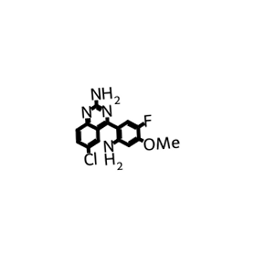 COc1cc(N)c(-c2nc(N)nc3ccc(Cl)cc23)cc1F